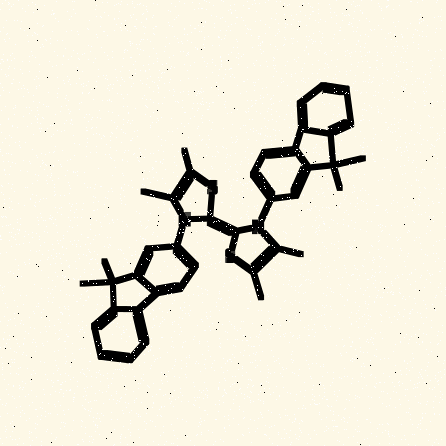 CC1=C(C)N(c2ccc3c(c2)C(C)(C)c2ccccc2-3)/C(=C2\SC(C)=C(C)N2c2ccc3c(c2)C(C)(C)c2ccccc2-3)S1